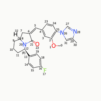 COc1cc(C=C2C[C@@H]3CCC[C@H](c4ccc(F)cc4)N3C2=O)ccc1-n1cnc(C)c1